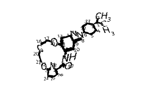 CC(C)[C@H]1CC[C@H](n2cc3cc4c(cc3n2)OCCCCCOc2cccc(n2)C(=O)N4)CC1